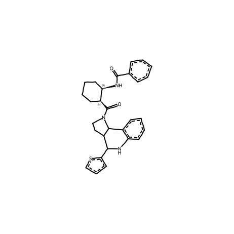 O=C(N[C@@H]1CCCC[C@@H]1C(=O)N1CCC2C(c3cccs3)Nc3ccccc3C21)c1ccccc1